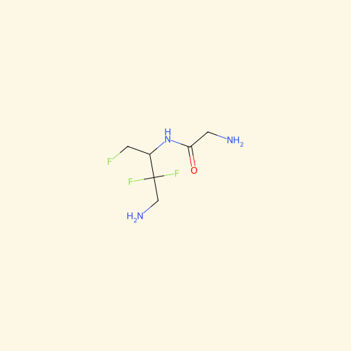 NCC(=O)NC(CF)C(F)(F)CN